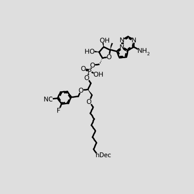 CCCCCCCCCCCCCCCCCCOC[C@H](COP(=O)(O)OC[C@H]1O[C@@](C)(c2ccc3c(N)ncnn23)[C@H](O)[C@@H]1O)OCc1ccc(C#N)c(F)c1